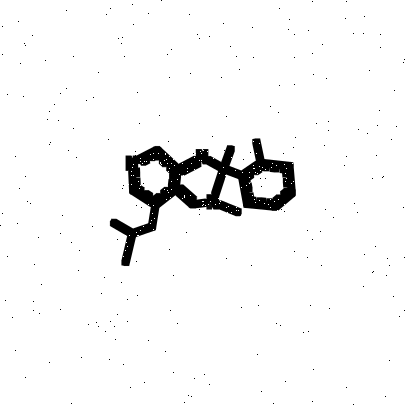 Cc1ccccc1C1(C)N=c2cncc(CC(C)C)c2=CN1C